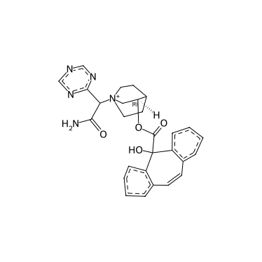 NC(=O)C(c1ncncn1)[N+]12CCC(CC1)[C@@H](OC(=O)C1(O)c3ccccc3C=Cc3ccccc31)C2